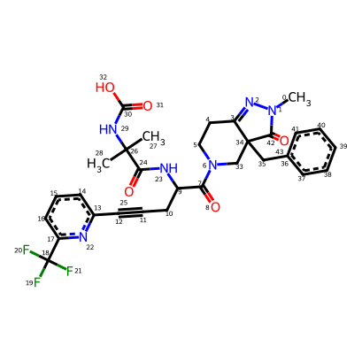 CN1N=C2CCN(C(=O)C(CC#Cc3cccc(C(F)(F)F)n3)NC(=O)C(C)(C)NC(=O)O)CC2(Cc2ccccc2)C1=O